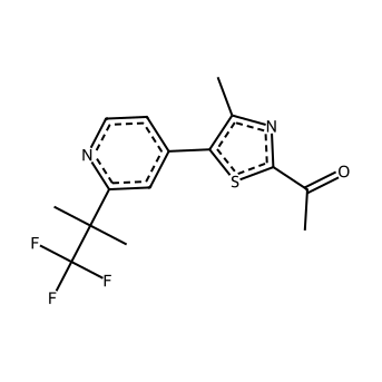 CC(=O)c1nc(C)c(-c2ccnc(C(C)(C)C(F)(F)F)c2)s1